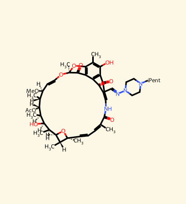 CCCC(C)N1CCN(/N=C/C2=C3NC(=O)/C(C)=C\C=C\[C@]4(C)O[C@H]([C@@H](C)[C@@H](O)[C@@H](C)[C@H](OC(C)=O)[C@H](C)[C@@H](OC)/C=C/O[C@@]5(C)Oc6c(C)c(O)c(c(c6C5=O)C2=O)C3=O)[C@H]4C)CC1